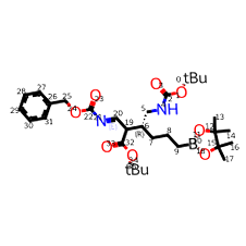 CC(C)(C)OC(=O)NC[C@H](CCCB1OC(C)(C)C(C)(C)O1)C(/C=N/C(=O)OCc1ccccc1)C(=O)OC(C)(C)C